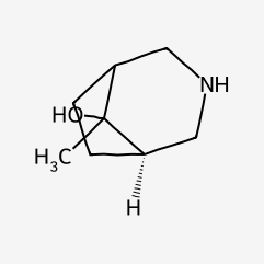 CC1(O)C2CC[C@@H]1CNC2